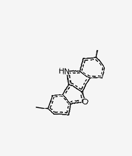 Cc1ccc2c(c1)[nH]c1c3cc(C)ccc3oc21